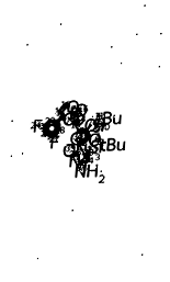 CC(C)(C)[Si](C)(C)O[C@H]1[C@H](O[Si](C)(C)C(C)(C)C)[C@@H](CO[P@]2(=O)OCC[C@H](c3cc(F)cc(F)c3)O2)O[C@H]1n1ccc(N)nc1=O